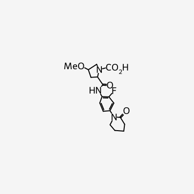 COC1CC(C(=O)Nc2ccc(N3CCCCC3=O)cc2F)N(C(=O)O)C1